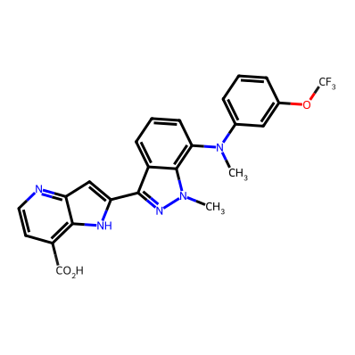 CN(c1cccc(OC(F)(F)F)c1)c1cccc2c(-c3cc4nccc(C(=O)O)c4[nH]3)nn(C)c12